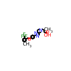 Cc1ccc(C(F)(F)F)c(COc2ccc(-c3ncc4c(n3)CCN(CC(C)CC(=O)O)C4)cc2)c1